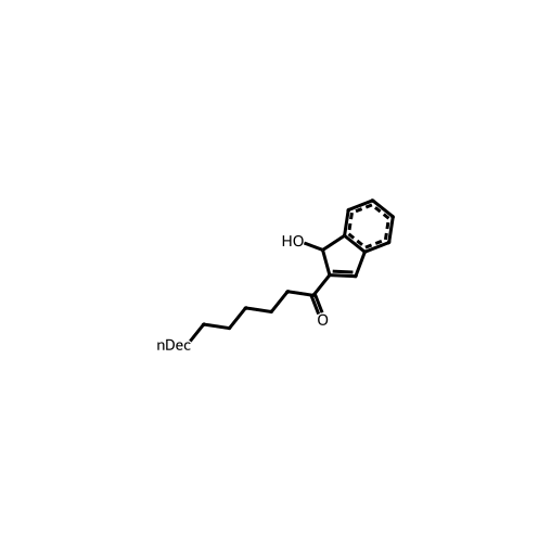 CCCCCCCCCCCCCCCC(=O)C1=Cc2ccccc2C1O